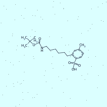 Cc1ccc(S(=O)(=O)O)c(CCCCCCNC(=O)OC(C)(C)C)c1